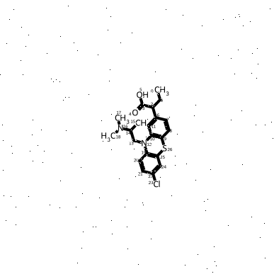 CCC(C(=O)O)c1ccc2c(c1)N(CC(C)N(C)C)c1ccc(Cl)cc1S2